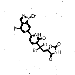 CCn1ncc2c(F)cc(-c3ccc(C(C=C4OC(=O)NC4=O)(CC)CC)c(=O)[nH]3)cc21